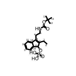 CCC1=C(CCNC(=O)OC(C)(C)C)c2ccccc2C1OP(=O)(O)O